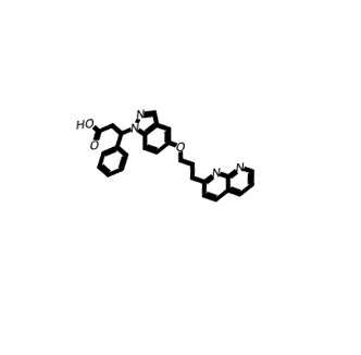 O=C(O)CC(c1ccccc1)n1ncc2cc(OCCCc3ccc4cccnc4n3)ccc21